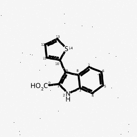 O=C(O)c1[nH]c2ccccc2c1-c1cccs1